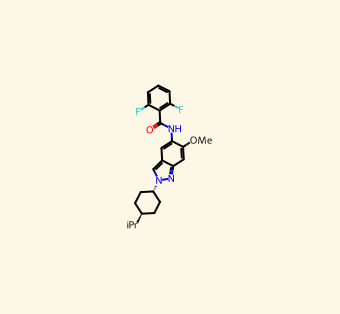 COc1cc2nn([C@H]3CC[C@H](C(C)C)CC3)cc2cc1NC(=O)c1c(F)cccc1F